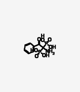 NC(C(=O)c1ccccc1)(P(=O)(O)O)P(=O)(O)O